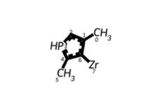 Cc1c[pH]c(C)[c]1[Zr]